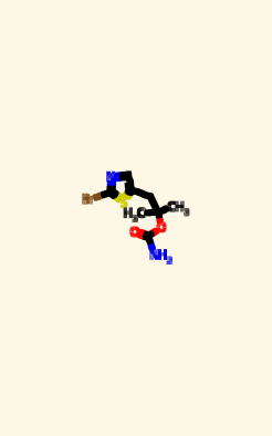 CC(C)(Cc1cnc(Br)s1)OC(N)=O